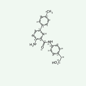 Cc1ccc(-c2cnc(N)c(C(=O)Nc3ccc(CC(=O)O)cc3)n2)cc1